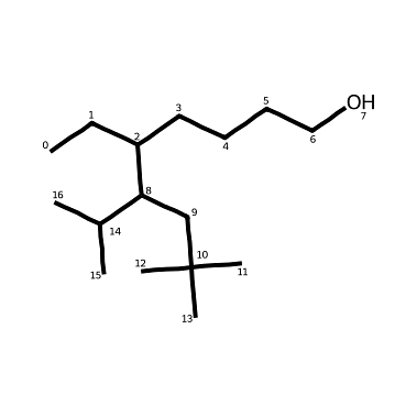 CCC(CCCCO)C(CC(C)(C)C)C(C)C